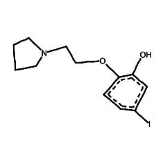 Oc1cc(I)ccc1OCCN1CCCC1